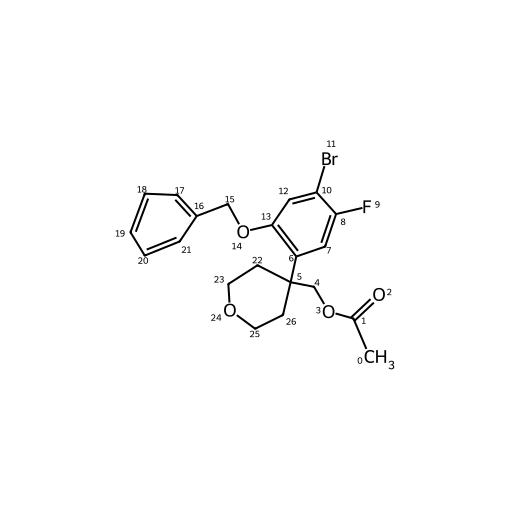 CC(=O)OCC1(c2cc(F)c(Br)cc2OCc2ccccc2)CCOCC1